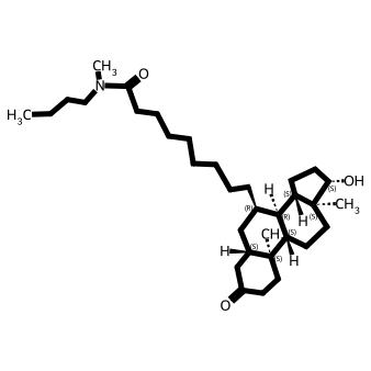 CCCCN(C)C(=O)CCCCCCCC[C@@H]1C[C@H]2CC(=O)CC[C@]2(C)[C@H]2CC[C@]3(C)[C@@H](O)CC[C@H]3[C@H]12